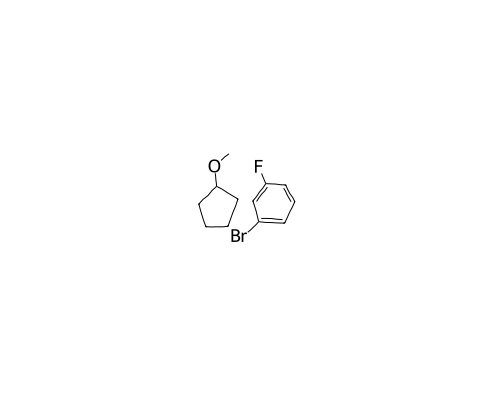 COC1CCCC1.Fc1cccc(Br)c1